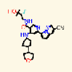 CC(C)(O)[C@H](F)CNC(=O)c1cnc(-c2ccc3cc(C#N)cnn23)cc1N[C@H]1CC[C@H](C2CCOCC2)CC1